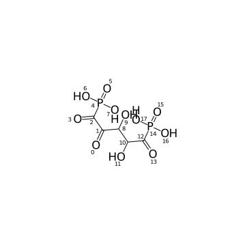 O=C(C(=O)P(=O)(O)O)C(O)C(O)C(=O)P(=O)(O)O